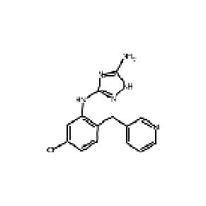 Nc1nc(Nc2cc(Cl)ccc2Cc2cccnc2)n[nH]1